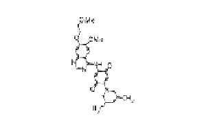 COCCOc1cc2ncnc(NC3=CC(=O)C(N4CC(C)CC(C)C4)=CC3=O)c2cc1OC